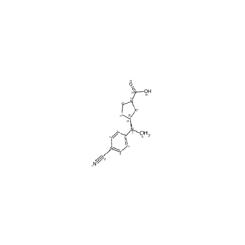 CN(c1ccc(C#N)cc1)[C@H]1CCN(C(=O)O)C1